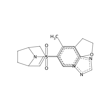 Cc1cc2ncnn2cc1C1=CC2CCC(C1)N2S(=O)(=O)c1ccc2c(c1)CCO2